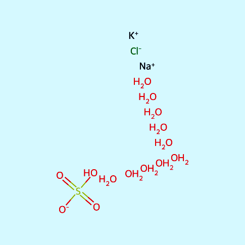 O.O.O.O.O.O.O.O.O.O.O=S(=O)([O-])O.[Cl-].[K+].[Na+]